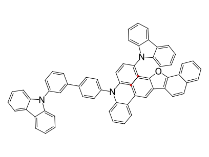 c1cc(-c2ccc(N(c3ccc(-n4c5ccccc5c5ccccc54)cc3)c3ccccc3-c3ccc4oc5c6ccccc6ccc5c4c3)cc2)cc(-n2c3ccccc3c3ccccc32)c1